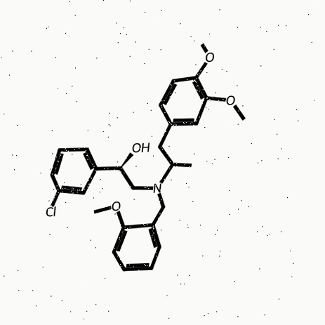 COc1ccccc1CN(C[C@H](O)c1cccc(Cl)c1)C(C)Cc1ccc(OC)c(OC)c1